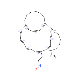 CC1CCCCCC2=C\C=C/C=C1/C(CCN=O)=C\C=C\C=C\C=C/C1=C/C=C\C=C\2CCCCCC1